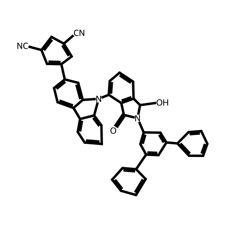 N#Cc1cc(C#N)cc(-c2ccc3c4ccccc4n(-c4cccc5c4C(=O)N(c4cc(-c6ccccc6)cc(-c6ccccc6)c4)C5O)c3c2)c1